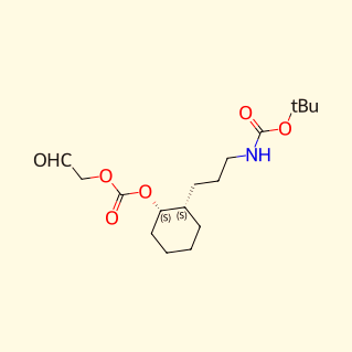 CC(C)(C)OC(=O)NCCC[C@@H]1CCCC[C@@H]1OC(=O)OCC=O